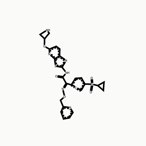 O=C(Nc1nc2ccc(OC3CNC3)nc2s1)/C(=N/OCc1ccccn1)c1ccc(S(=O)(=O)C2CC2)cc1